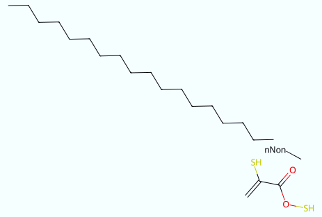 C=C(S)C(=O)OS.CCCCCCCCCC.CCCCCCCCCCCCCCCCCC